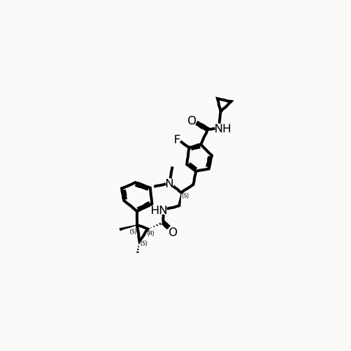 C[C@H]1[C@@H](C(=O)NC[C@H](Cc2ccc(C(=O)NC3CC3)c(F)c2)N(C)C)[C@@]1(C)c1ccccc1